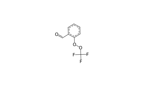 O=Cc1ccccc1OOC(F)(F)F